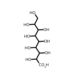 O=C(O)C(O)C(O)C(O)C(O)C(O)C(O)C(O)CO